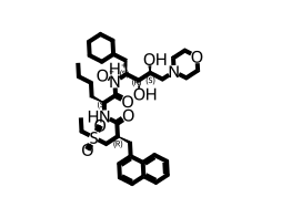 CCCC[C@H](NC(=O)[C@@H](Cc1cccc2ccccc12)CS(=O)(=O)CC)C(=O)[NH+]([O-])[C@@H](CC1CCCCC1)[C@@H](O)[C@@H](O)CN1CCOCC1